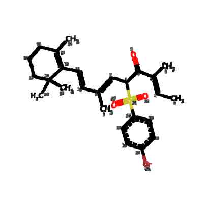 CC=C(C)C(=O)C(C=C(C)C=CC1=C(C)CCCC1(C)C)S(=O)(=O)c1ccc(Br)cc1